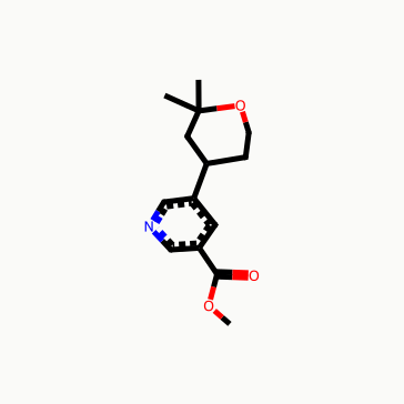 COC(=O)c1cncc(C2CCOC(C)(C)C2)c1